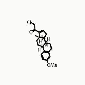 COc1ccc2c(c1)CC[C@@H]1[C@@H]2CC[C@]2(C)C(C(=O)CCl)=CC[C@@H]12